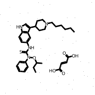 CCCCCCN1CCC(c2c[nH]c3ccc(NC(=S)N(OC(C)CC)c4ccccc4)cc23)CC1.O=C(O)/C=C/C(=O)O